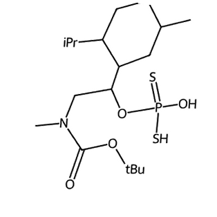 CC1CCC(C(C)C)C(C(CN(C)C(=O)OC(C)(C)C)OP(O)(=S)S)C1